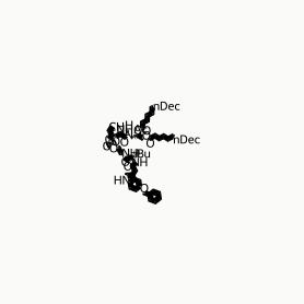 C=CCOP(=O)(OCCNC(=O)[C@@H](NC(=O)Cc1c[nH]c2ccc(OCc3ccccc3)cc12)[C@@H](C)CC)OC[C@@H](NC(C)=O)C(=O)NC[C@@H](COC(=O)CCCCCCCCCCCCCCC)OC(=O)CCCCCCCCCCCCCCC